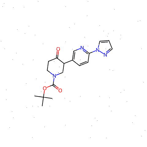 CC(C)(C)OC(=O)N1CCC(=O)C(c2ccc(-n3cccn3)nc2)C1